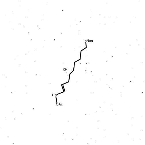 CCCCCCCCCCCCCCCCC=CNOC(C)=O.[KH]